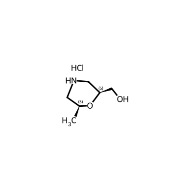 C[C@H]1CNC[C@@H](CO)O1.Cl